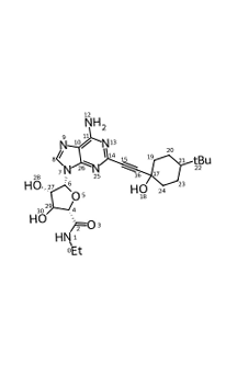 CCNC(=O)[C@H]1O[C@@H](n2cnc3c(N)nc(C#CC4(O)CCC(C(C)(C)C)CC4)nc32)[C@@H](O)C1O